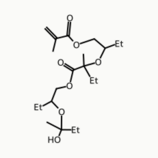 C=C(C)C(=O)OCC(CC)OC(C)(CC)C(=O)OCC(CC)OC(C)(O)CC